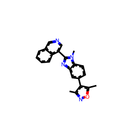 Cc1noc(C)c1-c1ccc2c(c1)nc(-c1cncc3ccccc13)n2C